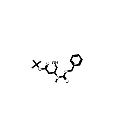 CN(C(=O)OCc1ccccc1)C(CO)CC(=O)OC(C)(C)C